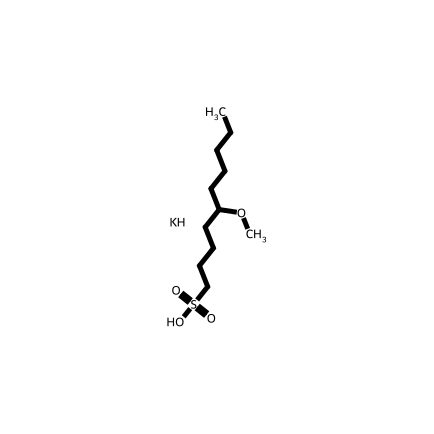 CCCCCC(CCCCS(=O)(=O)O)OC.[KH]